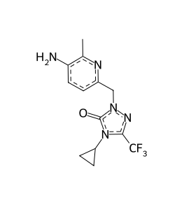 Cc1nc(Cn2nc(C(F)(F)F)n(C3CC3)c2=O)ccc1N